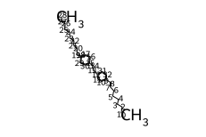 CCCCCCC/C=C/c1ccc(CCc2ccc(CCCCCCCCCC)cc2)cc1